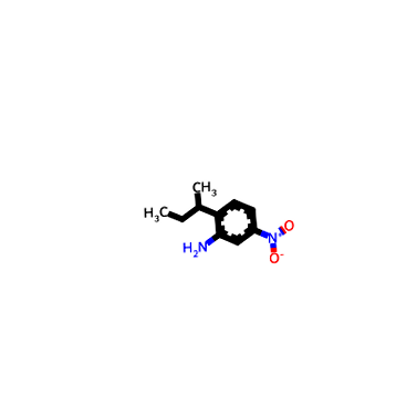 CCC(C)c1ccc([N+](=O)[O-])cc1N